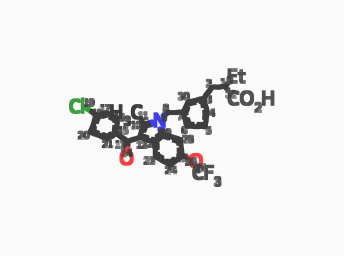 CCC(Cc1cccc(Cn2c(C)c(C(=O)c3ccc(Cl)cc3)c3ccc(OC(F)(F)F)cc32)c1)C(=O)O